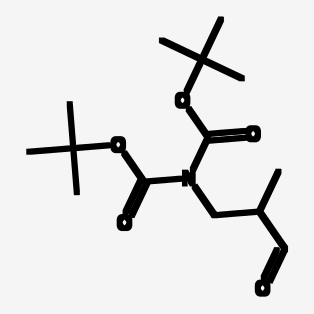 CC(C=O)CN(C(=O)OC(C)(C)C)C(=O)OC(C)(C)C